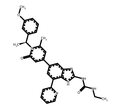 CCNC(=O)Nc1nc2cc(-c3cc(C)n([C@@H](C)c4cccc(OC)c4)c(=O)c3)cc(-c3ccccn3)c2[nH]1